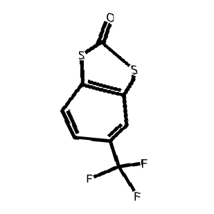 O=c1sc2ccc(C(F)(F)F)cc2s1